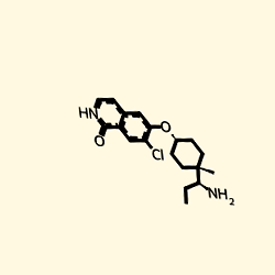 CC[C@H](N)[C@]1(C)CC[C@H](Oc2cc3cc[nH]c(=O)c3cc2Cl)CC1